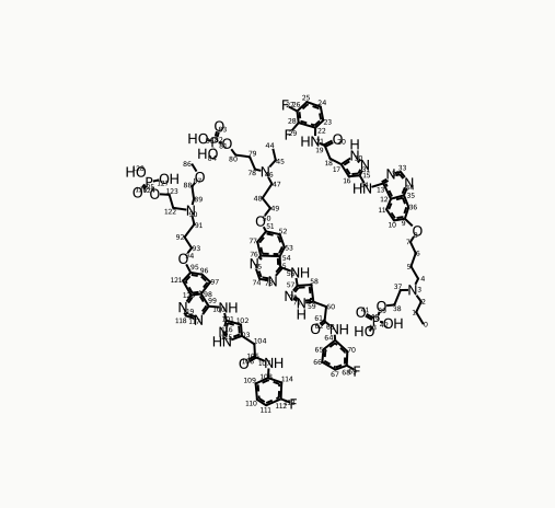 CCCN(CCCCOc1ccc2c(Nc3cc(CC(=O)Nc4cccc(F)c4F)[nH]n3)ncnc2c1)CCOP(=O)(O)O.CCN(CCCOc1ccc2c(Nc3cc(CC(=O)Nc4cccc(F)c4)[nH]n3)ncnc2c1)CCCOP(=O)(O)O.COCCN(CCCOc1ccc2c(Nc3cc(CC(=O)Nc4cccc(F)c4)[nH]n3)ncnc2c1)CCOP(=O)(O)O